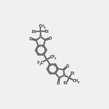 CCC(C)(CC)N1C(=O)c2ccc(C(c3ccc4c(c3)C(=O)N(C(C)(CC)CC)C4=O)(C(F)(F)F)C(F)(F)F)cc2C1=O